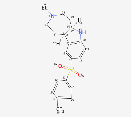 CCN1CC[C@@H]2c3cc(S(=O)(=O)c4ccc(C(F)(F)F)cc4)ccc3N[C@@H]2CC1